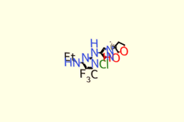 CCNc1nc(Nc2cn([C@@]3(C)CCOC3O)nc2Cl)ncc1C(F)(F)F